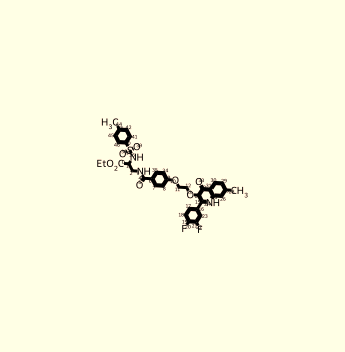 CCOC(=O)C(CNC(=O)c1ccc(OCCOc2c(-c3ccc(F)c(F)c3)[nH]c3cc(C)ccc3c2=O)cc1)NS(=O)(=O)c1ccc(C)cc1